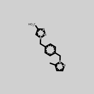 Cc1ccnn1Cc1ccc(Cn2cc(C(=O)O)nn2)cc1